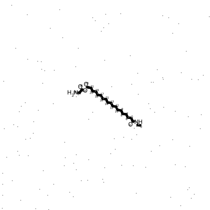 CCNC(=O)CCCCCCCCCCCCCCCCCC(=O)OC(=O)CN